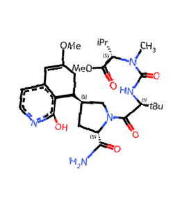 COC(=O)[C@H](C(C)C)N(C)C(=O)N[C@H](C(=O)N1C[C@H](C2CC(OC)=Cc3ccnc(O)c32)C[C@H]1C(N)=O)C(C)(C)C